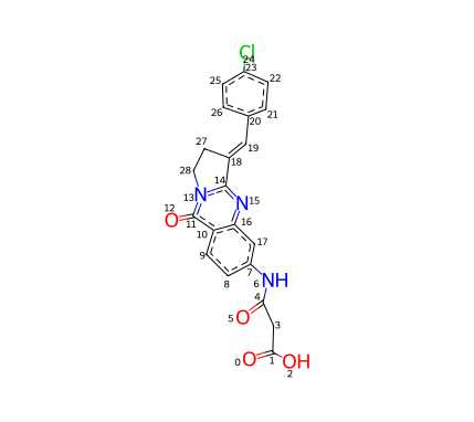 O=C(O)CC(=O)Nc1ccc2c(=O)n3c(nc2c1)/C(=C/c1ccc(Cl)cc1)CC3